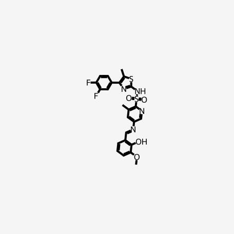 COc1cccc(/C=N/c2cnc(S(=O)(=O)Nc3nc(-c4ccc(F)c(F)c4)c(C)s3)c(C)c2)c1O